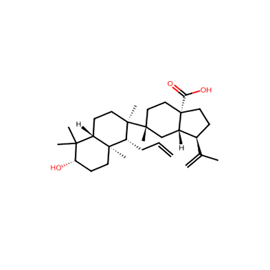 C=CC[C@@H]1[C@@]2(C)CC[C@H](O)C(C)(C)[C@@H]2CC[C@@]1(C)[C@]1(C)CC[C@@]2(C(=O)O)CC[C@@H](C(=C)C)[C@@H]2C1